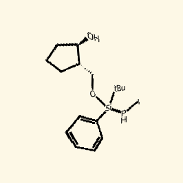 CC(C)(C)[Si](OC[C@@H]1CCC[C@H]1O)(PI)c1ccccc1